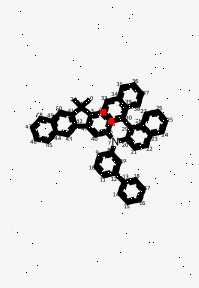 CC1(C)c2ccc(N(c3cccc(-c4ccccc4)c3)c3ccc4ccccc4c3-c3cccc4ccccc34)cc2-c2cc3ccccc3cc21